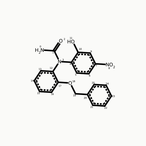 NC(=O)N(c1ccc([N+](=O)[O-])cc1O)c1ccccc1OCc1ccccc1